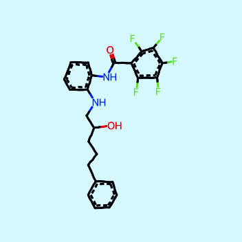 O=C(Nc1ccccc1NCC(O)CCCc1ccccc1)c1c(F)c(F)c(F)c(F)c1F